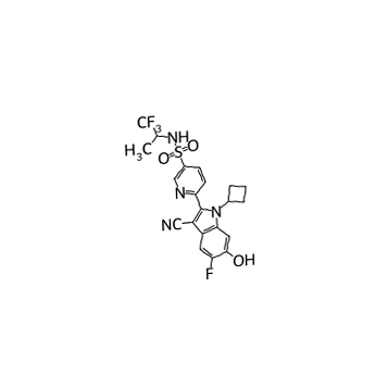 CC(NS(=O)(=O)c1ccc(-c2c(C#N)c3cc(F)c(O)cc3n2C2CCC2)nc1)C(F)(F)F